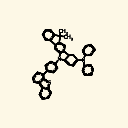 CC1(C)c2ccccc2-c2cc3c(cc21)C1CC(N(c2ccccc2)c2ccccc2)=CC=C1N3c1ccc(-c2cccc3c2sc2ccccc23)cc1